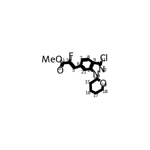 COC(=O)/C(F)=C/c1ccc2c(Cl)nn(C3CCCCO3)c2c1